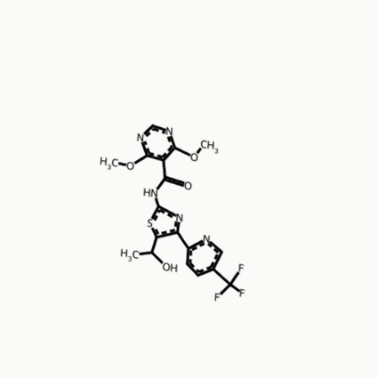 COc1ncnc(OC)c1C(=O)Nc1nc(-c2ccc(C(F)(F)F)cn2)c(C(C)O)s1